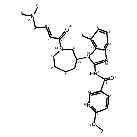 COc1ccc(C(=O)Nc2nc3cccc(C)c3n2C2CCCCN(C(=O)C=CCN(C)C)C2)cn1